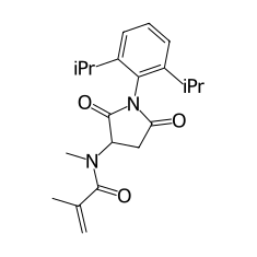 C=C(C)C(=O)N(C)C1CC(=O)N(c2c(C(C)C)cccc2C(C)C)C1=O